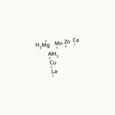 [AlH3].[Ce].[Cu].[La].[MgH2].[Mn].[Zn]